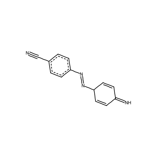 N#Cc1ccc(/N=N/C2C=CC(=N)C=C2)cc1